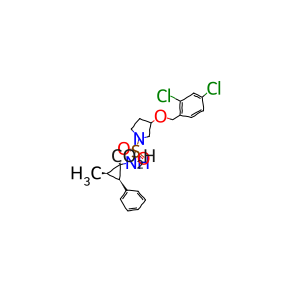 C[C@@H]1[C@H](c2ccccc2)[C@]1(NS(=O)(=O)N1CCC(OCc2ccc(Cl)cc2Cl)C1)C(=O)O